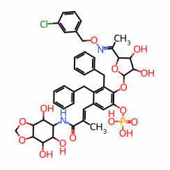 CC(=Cc1cc(OP(=O)(O)O)c(OC2OC(C(C)=NOCc3cccc(Cl)c3)C(O)C2O)c(Cc2ccccc2)c1Cc1ccccc1)C(=O)NC1C(O)C(O)C2OCOC2C1O